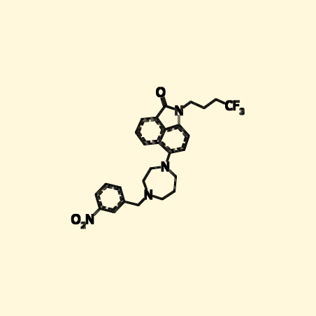 O=C1c2cccc3c(N4CCCN(Cc5cccc([N+](=O)[O-])c5)CC4)ccc(c23)N1CCCC(F)(F)F